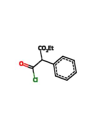 CCOC(=O)C(C(=O)Cl)c1ccccc1